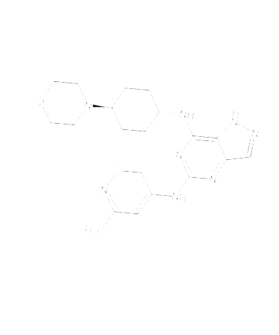 CC1=NSCC(Nc2nc(N[C@H]3CC[C@H](N4CCOCC4)CC3)c3[nH]ncc3n2)=C1